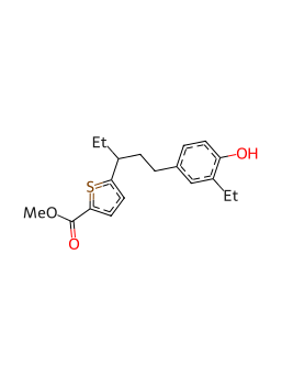 CCc1cc(CCC(CC)c2ccc(C(=O)OC)s2)ccc1O